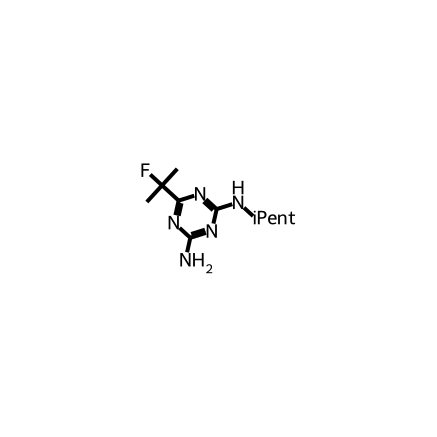 CCCC(C)Nc1nc(N)nc(C(C)(C)F)n1